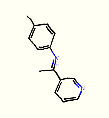 C/C(=N\c1ccc(C)cc1)c1cccnc1